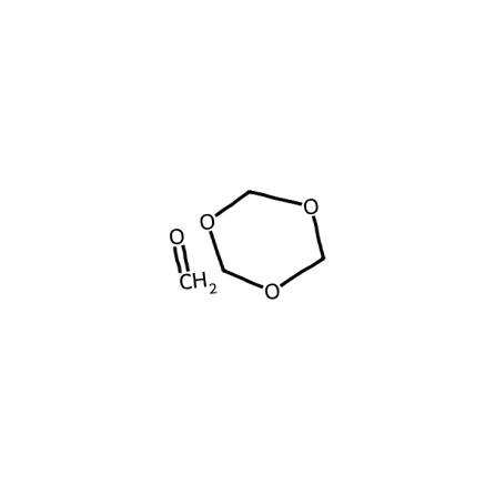 C1OCOCO1.C=O